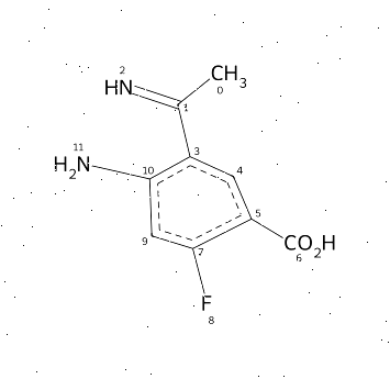 CC(=N)c1cc(C(=O)O)c(F)cc1N